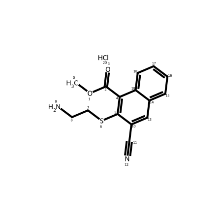 COC(=O)c1c(SCCN)c(C#N)cc2ccccc12.Cl